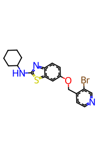 Brc1cnccc1COc1ccc2nc(NC3CCCCC3)sc2c1